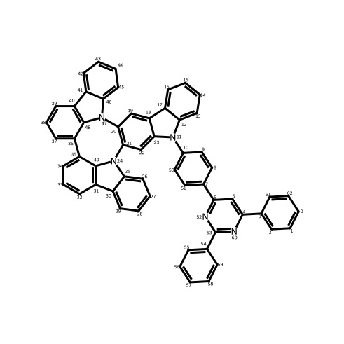 c1ccc(-c2cc(-c3ccc(-n4c5ccccc5c5cc6c(cc54)n4c5ccccc5c5cccc(c7cccc8c9ccccc9n6c87)c54)cc3)nc(-c3ccccc3)n2)cc1